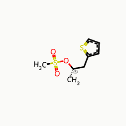 C[C@@H](Cc1cccs1)OS(C)(=O)=O